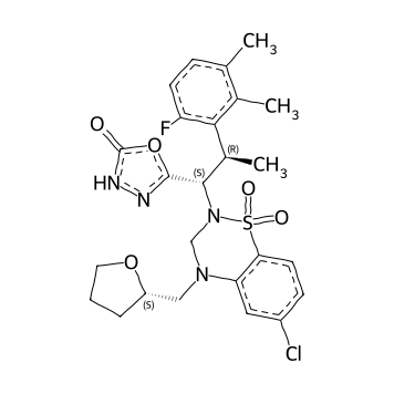 Cc1ccc(F)c([C@@H](C)[C@@H](c2n[nH]c(=O)o2)N2CN(C[C@@H]3CCCO3)c3cc(Cl)ccc3S2(=O)=O)c1C